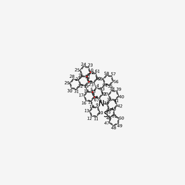 c1ccc(-c2ccc(N(c3ccccc3-c3ccc(-c4cc5ccccc5c5ccccc45)cc3)c3c4ccccc4cc4c3sc3ccccc34)cc2-c2ccccc2)cc1